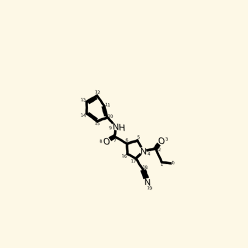 CCC(=O)N1CC(C(=O)Nc2ccccc2)CC1C#N